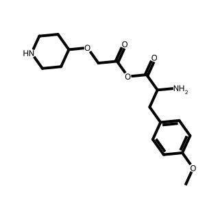 COc1ccc(CC(N)C(=O)OC(=O)COC2CCNCC2)cc1